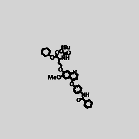 COc1cc2c(Oc3ccc(NC(=O)c4ccccc4)cc3)ccnc2cc1OCCC(NC(=O)OC(C)(C)C)C(=O)OC1CCCCC1